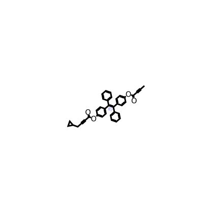 CC#CC(=O)Oc1ccc(/C(=C(\c2ccccc2)c2ccc(OC(=O)C#CCC3CC3)cc2)c2ccccc2)cc1